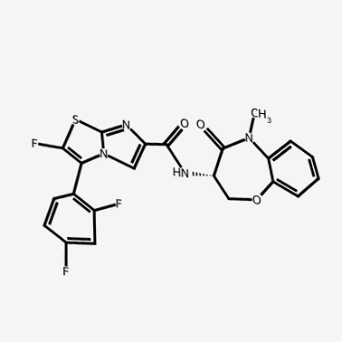 CN1C(=O)[C@@H](NC(=O)c2cn3c(-c4ccc(F)cc4F)c(F)sc3n2)COc2ccccc21